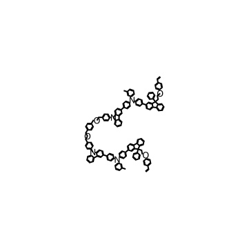 C=Cc1ccc(OCCC2(c3ccccc3)c3ccccc3-c3ccc(-c4ccc(N(c5ccc(-c6ccc7c(c6)c6ccccc6n7-c6ccc(COCc7ccc(COCc8ccc(-n9c%10ccccc%10c%10cc(-c%11ccc(N(c%12ccc(-c%13ccc%14c(c%13)C(CCOc%13ccc(C=C)cc%13)(c%13ccccc%13)c%13ccccc%13-%14)cc%12)c%12cccc(C)c%12)cc%11)ccc%109)cc8)cc7)cc6)cc5)c5cccc(C)c5)cc4)cc32)cc1